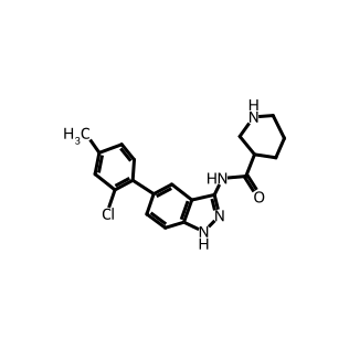 Cc1ccc(-c2ccc3[nH]nc(NC(=O)C4CCCNC4)c3c2)c(Cl)c1